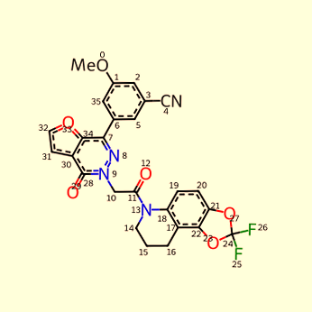 COc1cc(C#N)cc(-c2nn(CC(=O)N3CCCc4c3ccc3c4OC(F)(F)O3)c(=O)c3ccoc23)c1